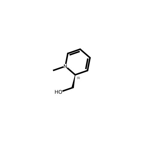 CN1C=CC=C[C@H]1CO